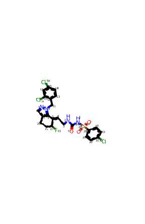 O=C(NCC=C1c2c(cnn2Cc2ccc(Cl)cc2Cl)CCC1F)NS(=O)(=O)c1ccc(Cl)cc1